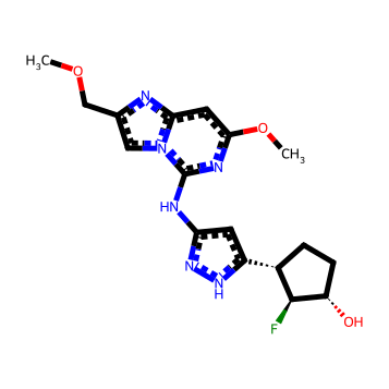 COCc1cn2c(Nc3cc([C@@H]4CC[C@H](O)[C@H]4F)[nH]n3)nc(OC)cc2n1